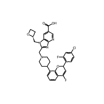 O=C(O)c1cnc2nc(CN3CCC(c4cccc5c4OC(c4ccc(Cl)cc4F)C=C5F)CC3)n(C[C@@H]3CCO3)c2c1